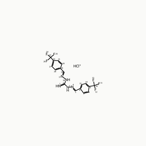 Cl.N=C(N/N=C/c1ccc(C(F)(F)F)cc1)N/N=C/c1ccc(C(F)(F)F)cc1